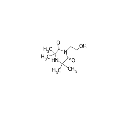 CC1(C)NC(C)(C)C(=O)N(CCO)C1=O